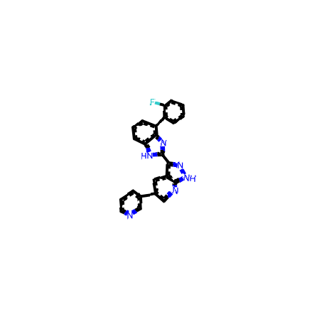 Fc1ccccc1-c1cccc2[nH]c(-c3n[nH]c4ncc(-c5cccnc5)cc34)nc12